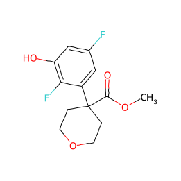 COC(=O)C1(c2cc(F)cc(O)c2F)CCOCC1